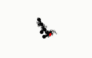 C[C@H]1[C@@H](N(C(=O)CCc2ccccc2)C2CCN(c3ccc(C(=O)NS(=O)(=O)c4ccc(NCC5CCOCC5)c([N+](=O)[O-])c4)c(Oc4ccccc4)c3)CC2)C[C@@H]2C[C@@H]1C2(C)C